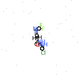 CC[C@@H](NC(=O)Nc1ccc(Cl)cc1)[C@H]1[C@@H]2C[C@@H](n3cnc4cc(F)c(F)cc43)C[C@@H]21